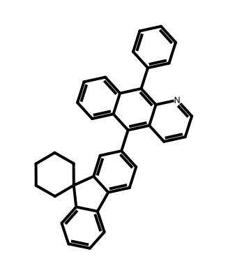 c1ccc(-c2c3ccccc3c(-c3ccc4c(c3)C3(CCCCC3)c3ccccc3-4)c3cccnc23)cc1